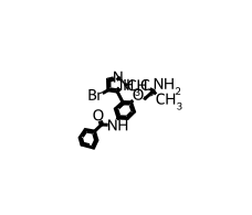 Cn1ncc(Br)c1-c1cc(NC(=O)c2ccccc2)ccc1OCC(C)(C)N